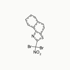 O=[N+]([O-])C(Br)(Br)c1nc2c(ccc3ccccc32)s1